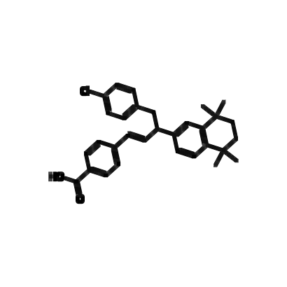 CC1(C)CCC(C)(C)c2cc(C(/C=C/c3ccc(C(=O)O)cc3)Cc3ccc(Cl)cc3)ccc21